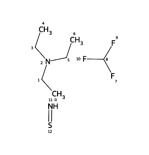 CCN(CC)CC.FC(F)F.N=S